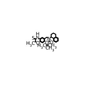 CC1Oc2ccc(CN(C(=O)OC(C)(C)C)C3CCCc4ccccc43)cc2NC1=S